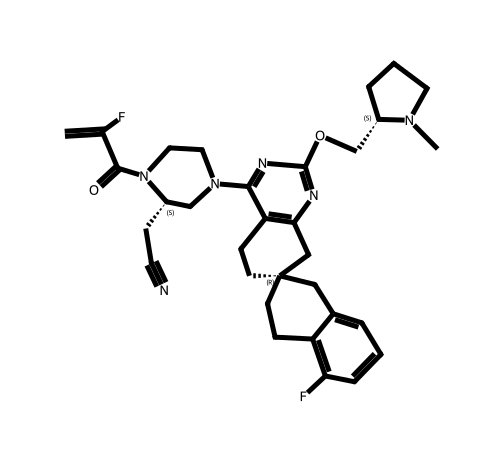 C=C(F)C(=O)N1CCN(c2nc(OC[C@@H]3CCCN3C)nc3c2CC[C@]2(CCc4c(F)cccc4C2)C3)C[C@@H]1CC#N